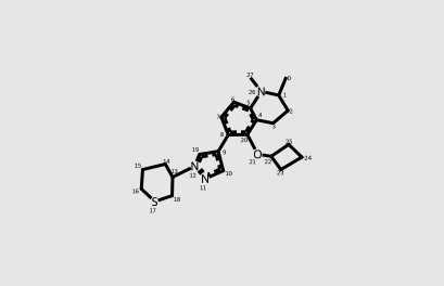 CC1CCc2c(ccc(-c3cnn(C4CCCSC4)c3)c2OC2CCC2)N1C